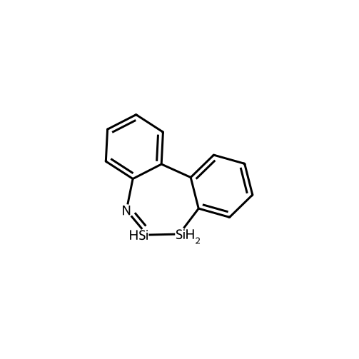 c1ccc2c(c1)N=[SiH][SiH2]c1ccccc1-2